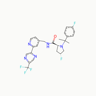 CC(C)(c1ccc(F)cc1)N1C[C@H](F)C[C@H]1C(=O)NCc1ccnc(-c2cnc(C(F)(F)F)cn2)c1